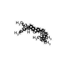 CCCC(=O)N1C[C@@H](COC)C[C@H]1c1nc2ccc3cc4c(cc3c2[nH]1)OCc1cc(-c2cnc([C@@H]3CC[C@H](C)N3C(=O)C(NC(=O)OC)[C@@H](C)CC)[nH]2)ccc1-4